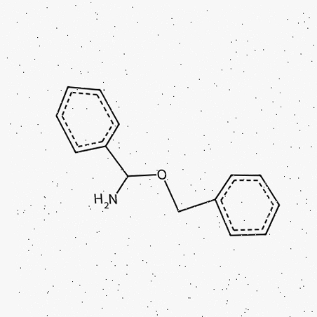 NC(OCc1ccccc1)c1c[c]ccc1